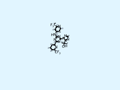 CC(C)(O)c1ncnn1-c1nc(Nc2ccnc(C(F)(F)F)c2)nc(-c2cccc(C(F)(F)F)n2)n1